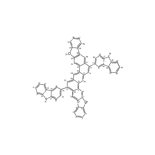 c1ccc2c(c1)oc1cc3c(cc12)c(-c1ccc2sc4ccccc4c2c1)cc1cc2c(cc(-c4ccc5sc6ccccc6c5c4)c4cc5c(cc42)oc2ccccc25)cc13